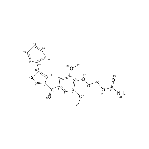 COc1cc(C(=O)c2csc(-c3ccccc3)n2)cc(OC)c1OCCOC(N)=O